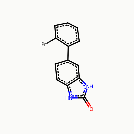 CC(C)c1ccccc1-c1ccc2[nH]c(=O)[nH]c2c1